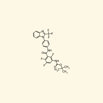 CC(C)(C)OC(=O)Nc1cc(F)c(F)c(C(=O)Nc2ccc(-n3c(C(F)(F)F)nc4ccccc43)cc2)c1F